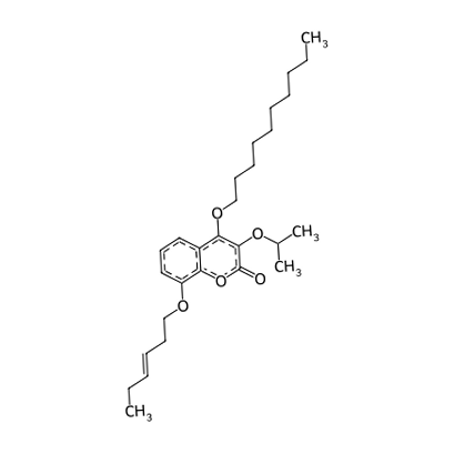 CCC=CCCOc1cccc2c(OCCCCCCCCCC)c(OC(C)C)c(=O)oc12